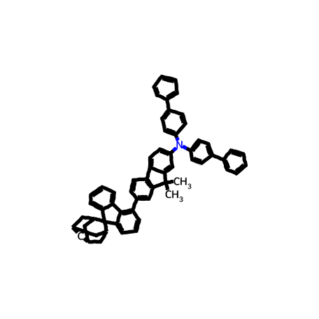 CC1(C)c2cc(-c3cccc4c3-c3ccccc3C43C4CC5CC(C4)CC3C5)ccc2-c2ccc(N(c3ccc(-c4ccccc4)cc3)c3ccc(-c4ccccc4)cc3)cc21